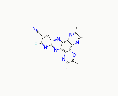 Cc1nc2c3nc(C)c(C)nc3c3nc4nc(F)c(C#N)cc4nc3c2nc1C